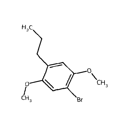 CCCc1cc(OC)c(Br)cc1OC